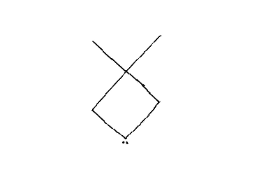 CC1(C)C[C]C1